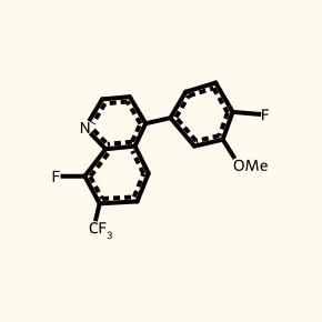 COc1cc(-c2ccnc3c(F)c(C(F)(F)F)ccc23)ccc1F